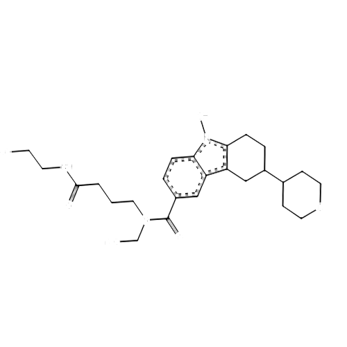 CCN(CCCC(=O)NCCO)C(=O)c1ccc2c(c1)c1c(n2C)CCC(C2CCOCC2)C1